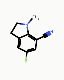 CN1CCc2cc(F)cc(C#N)c21